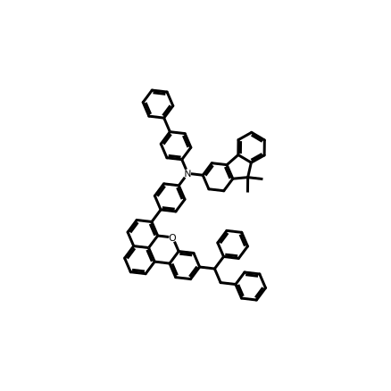 CC1(C)C2=C(C=C(N(c3ccc(-c4ccccc4)cc3)c3ccc(-c4ccc5cccc6c5c4Oc4cc(C(Cc5ccccc5)c5ccccc5)ccc4-6)cc3)CC2)c2ccccc21